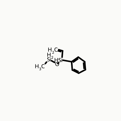 C=C[SiH](O[SiH2]C)c1ccccc1